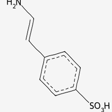 NC=Cc1ccc(S(=O)(=O)O)cc1